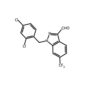 O=Cc1nn(Cc2ccc(Cl)cc2Cl)c2cc(C(F)(F)F)ccc12